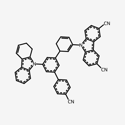 N#Cc1ccc(-c2cc(C3C=C(n4c5ccc(C#N)cc5c5cc(C#N)ccc54)C=CC3)cc(-n3c4c(c5ccccc53)C=CCC4)c2)cc1